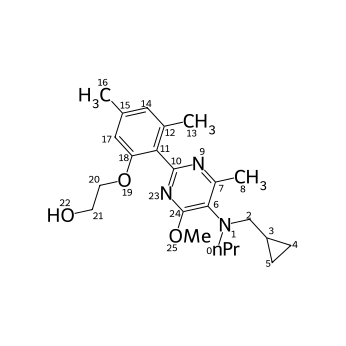 CCCN(CC1CC1)c1c(C)nc(-c2c(C)cc(C)cc2OCCO)nc1OC